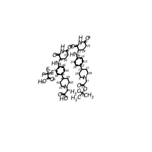 CC(C)(C)OC(=O)CN1CCC(c2ccc(NC3CCC(=O)NC3=O)cc2)CC1.O=C(O)C(F)(F)F.O=C(O)CN1CCC(c2ccc(N[C@@H]3CCC(=O)NC3=O)cc2)CC1